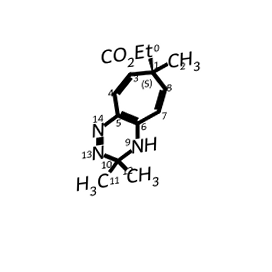 CCOC(=O)[C@]1(C)C=CC2=C(C=C1)NC(C)(C)N=N2